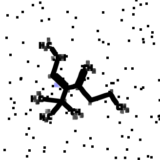 C=C(CCC)/C(=C\NC)C(C)(C)C